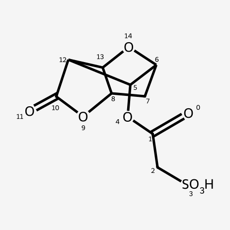 O=C(CS(=O)(=O)O)OC1C2CC3OC(=O)C1C3O2